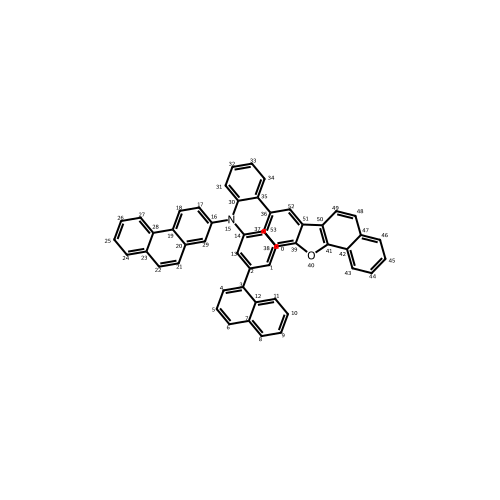 c1cc(-c2cccc3ccccc23)cc(N(c2ccc3c(ccc4ccccc43)c2)c2ccccc2-c2ccc3oc4c5ccccc5ccc4c3c2)c1